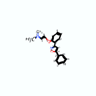 CN(C)CCOc1ccccc1-c1cc(-c2ccccc2)on1